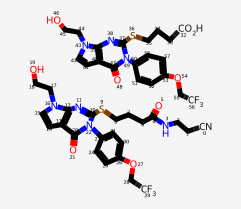 N#CCCNC(=O)CCCSc1nc2c(ccn2CCO)c(=O)n1-c1ccc(OCC(F)(F)F)cc1.O=C(O)CCCSc1nc2c(ccn2CCO)c(=O)n1-c1ccc(OCC(F)(F)F)cc1